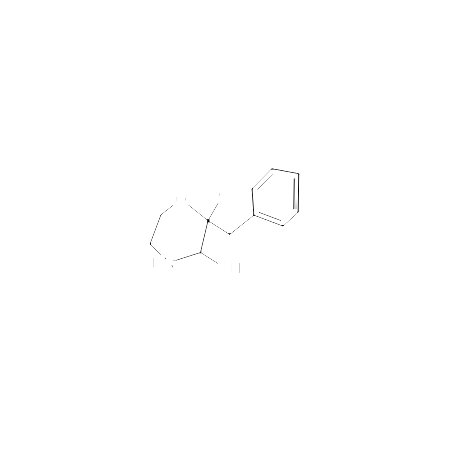 CC1NCCOC1(C)Cc1ccccc1